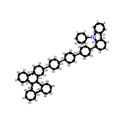 c1ccc(-n2c3ccccc3c3cccc(-c4ccc(-c5ccc(-c6ccc(-c7ccc8c9ccccc9c9c%10ccccc%10c%10ccccc%10c9c8c7)cc6)cc5)cc4)c32)cc1